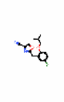 CC(C)COc1ccc(Cl)cc1Cc1nc(C#N)co1